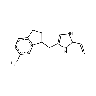 Cc1ccc2c(c1)C(CC1=CNC(C=S)N1)CC2